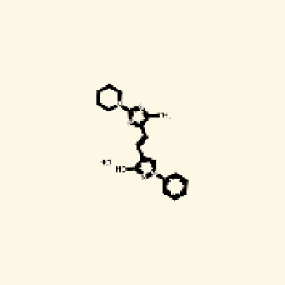 Cc1sc(N2CCCCC2)nc1C=Cc1cn(-c2ccccc2)nc1O.Cl